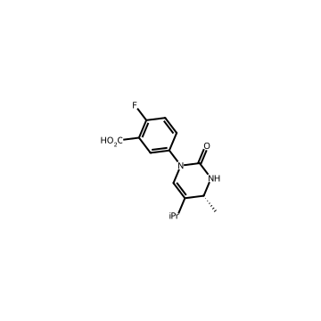 CC(C)C1=CN(c2ccc(F)c(C(=O)O)c2)C(=O)N[C@@H]1C